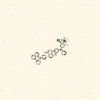 C[Si](C)(C)c1ccc(N(c2ccccc2)c2ccc3c(c2)Oc2ccc4c5c(ccc-3c25)Oc2cc(N(c3ccccc3)c3ccccc3-c3ccccc3)ccc2-4)cc1